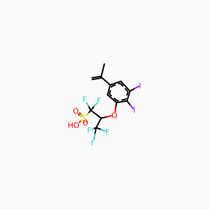 C=C(C)c1cc(I)c(I)c(OC(C(F)(F)F)C(F)(F)S(=O)(=O)O)c1